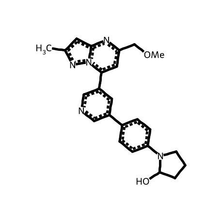 COCc1cc(-c2cncc(-c3ccc(N4CCCC4O)cc3)c2)n2nc(C)cc2n1